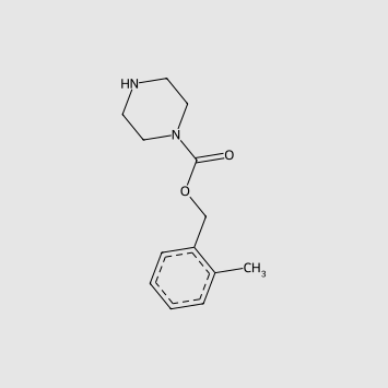 Cc1ccccc1COC(=O)N1CCNCC1